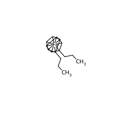 CCC[C]12[CH]3[CH]4[CH]5[CH]1[Fe]45321678[CH]2[CH]1[CH]6[C]7(CCC)[CH]28